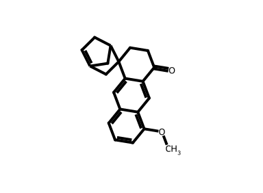 COc1cccc2cc3c(cc12)C(=O)CCC31CC2=CCC1C2